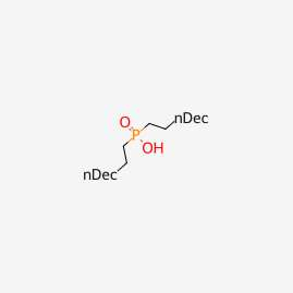 CCCCCCCCCCCCP(=O)(O)CCCCCCCCCCCC